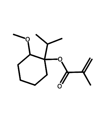 C=C(C)C(=O)OC1(C(C)C)CCCCC1OC